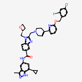 Cc1n[nH]c2c(C3CC3)cc(NC(=O)c3ccc4c(c3)nc(CN3CC=C(c5cccc(OCc6ccc(Cl)cc6F)n5)CC3)n4C[C@@H]3CCO3)cc12